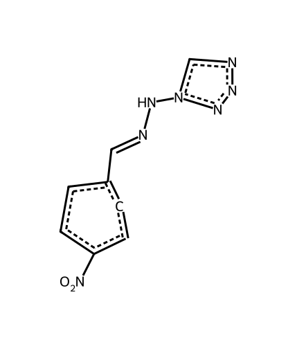 O=[N+]([O-])c1ccc(C=NNn2cnnn2)cc1